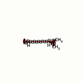 Cc1ccc(S(=O)(=O)CC(CS(=O)(=O)c2ccc(C)cc2)C(=O)c2ccc(C(=O)NCCOCCOCCOCCOCCOCCOCCOCCOCCOCCNC(=O)CCC(=O)N3Cc4ccccc4C#Cc4ccccc43)cc2)cc1